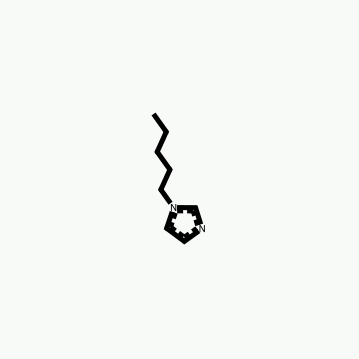 CCCCCn1c[c]nc1